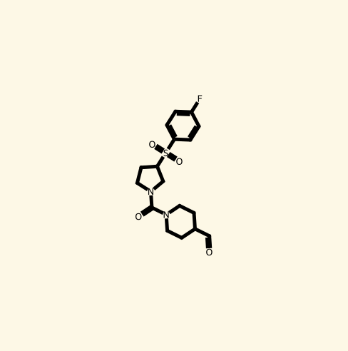 O=CC1CCN(C(=O)N2CCC(S(=O)(=O)c3ccc(F)cc3)C2)CC1